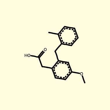 COc1ccc(CC(=O)O)c(Cc2ccccc2C)c1